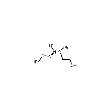 CC(C)ON=[N+]([O-])N(CCO)C(C)(C)C